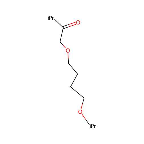 CC(C)OCCCCOCC(=O)C(C)C